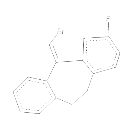 Fc1ccc2c(c1)C(=CBr)c1ccccc1CC2